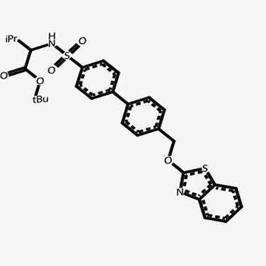 CC(C)C(NS(=O)(=O)c1ccc(-c2ccc(COc3nc4ccccc4s3)cc2)cc1)C(=O)OC(C)(C)C